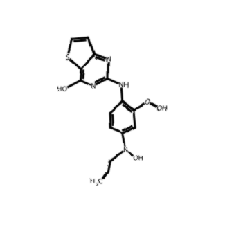 CCCN(O)c1ccc(Nc2nc(O)c3sccc3n2)c(OO)c1